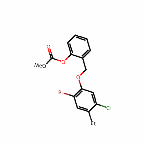 CCc1cc(Br)c(OCc2ccccc2OC(=O)OC)cc1Cl